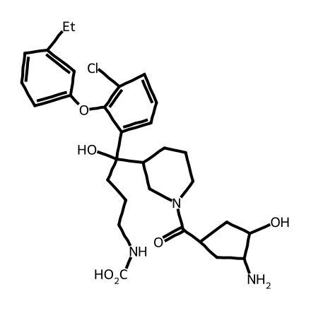 CCc1cccc(Oc2c(Cl)cccc2C(O)(CCCNC(=O)O)C2CCCN(C(=O)C3CC(N)C(O)C3)C2)c1